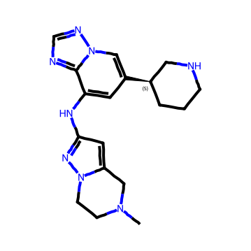 CN1CCn2nc(Nc3cc([C@@H]4CCCNC4)cn4ncnc34)cc2C1